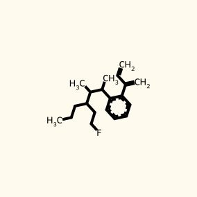 C=CC(=C)c1ccccc1C(C)C(C)C(CCC)CCF